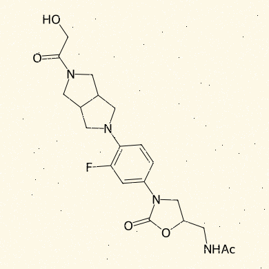 CC(=O)NCC1CN(c2ccc(N3CC4CN(C(=O)CO)CC4C3)c(F)c2)C(=O)O1